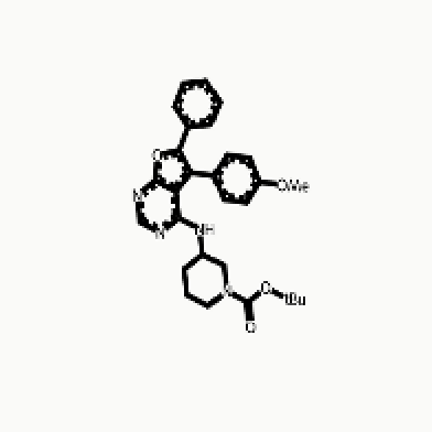 COc1ccc(-c2c(-c3ccccc3)oc3ncnc(NC4CCCN(C(=O)OC(C)(C)C)C4)c23)cc1